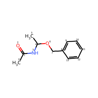 CC(=O)NC(C)OCc1ccccc1